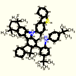 CC(C)(C)c1ccc(Nc2ccc(C(C)(C)C)cc2-c2c3c(c4c5cc6c(cc5n5c4c2Bc2cc4sc7ccccc7c4cc2-5)C(C)(C)CCC6(C)C)-c2ccccc2C3(C)C)cc1